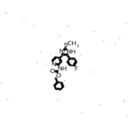 CSc1nc(-c2ccnc(NC(=O)OCc3ccccc3)c2)c(-c2ccc(F)cc2)[nH]1